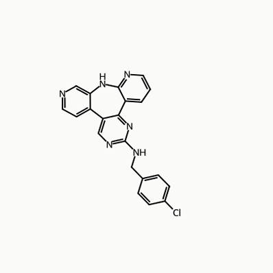 Clc1ccc(CNc2ncc3c(n2)-c2cccnc2Nc2cnccc2-3)cc1